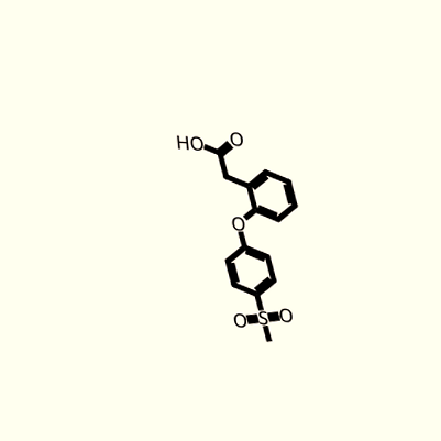 CS(=O)(=O)c1ccc(Oc2ccccc2CC(=O)O)cc1